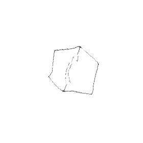 C1CC2CCC1N=N2